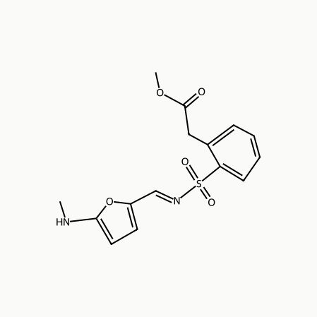 CNc1ccc(C=NS(=O)(=O)c2ccccc2CC(=O)OC)o1